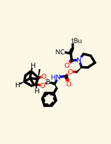 CC(C)(C)C=C(C#N)C(=O)N1CCCC[C@H]1COC(=O)N[C@@H](Cc1ccccc1)B1O[C@@H]2C[C@@H]3C[C@@H](C3(C)C)[C@]2(C)O1